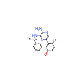 CC[C@@H](Nc1nc(C2=CC(=O)C=CC2=O)cnc1N)c1ccccc1